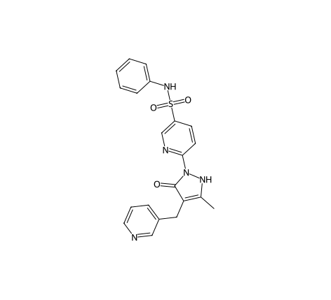 Cc1[nH]n(-c2ccc(S(=O)(=O)Nc3ccccc3)cn2)c(=O)c1Cc1cccnc1